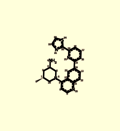 C[C@@H]1CC(N)CN(c2ccnc3ccc(-c4cccc(-c5nccs5)n4)cc23)C1